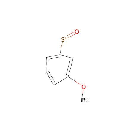 CCC(C)Oc1cccc([S+]=O)c1